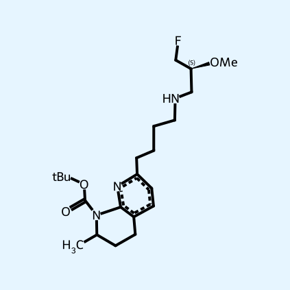 CO[C@H](CF)CNCCCCc1ccc2c(n1)N(C(=O)OC(C)(C)C)C(C)CC2